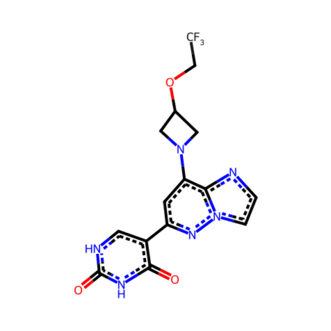 O=c1[nH]cc(-c2cc(N3CC(OCC(F)(F)F)C3)c3nccn3n2)c(=O)[nH]1